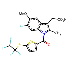 COc1cc2c(CC(=O)O)c(C)n(C(=O)c3ccc(SC(F)(F)C(F)F)s3)c2cc1F